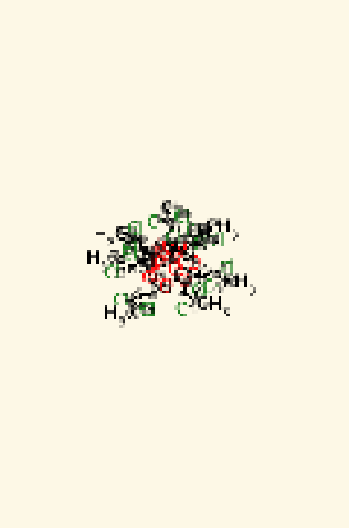 C[Si](Cl)(Cl)CC[Si]12O[Si]3(CC[Si](C)(Cl)Cl)O[Si]4(CC[Si](C)(Cl)Cl)O[Si](CC[Si](C)(Cl)Cl)(O1)O[Si]1(CC[Si](C)(Cl)Cl)O[Si](CC[Si](C)(Cl)Cl)(O2)O[Si](CC[Si](C)(Cl)Cl)(O3)O[Si](CC[Si](C)(Cl)Cl)(O4)O1